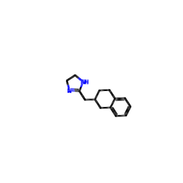 c1ccc2c(c1)CCC(CC1=NCCN1)C2